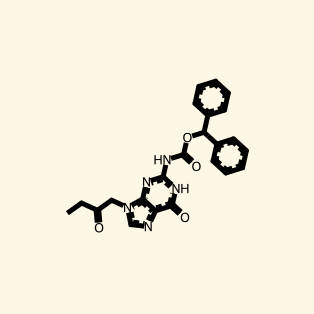 CCC(=O)Cn1cnc2c(=O)[nH]c(NC(=O)OC(c3ccccc3)c3ccccc3)nc21